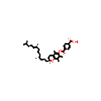 Cc1c(C)c2c(c(C)c1OC(=O)c1ccc(C(=O)O)cc1)CC[C@@](C)(CCC[C@H](C)CCC[C@H](C)CCCC(C)C)O2